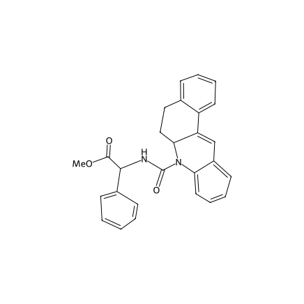 COC(=O)C(NC(=O)N1c2ccccc2C=C2c3ccccc3CCC21)c1ccccc1